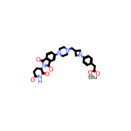 CC(C)(C)OC(=O)Cc1ccc(N2CC(CN3CCN(c4ccc5c(c4)C(=O)N(C4CCC(=O)NC4=O)C5=O)CC3)C2)cc1